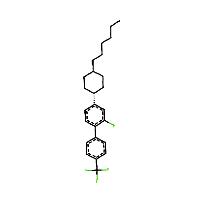 CCCCCC[C@H]1CC[C@H](c2ccc(-c3ccc(C(F)(F)F)cc3)c(F)c2)CC1